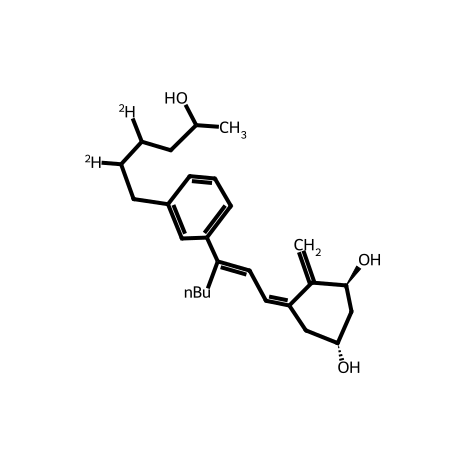 [2H]C(Cc1cccc(/C(=C/C=C2C[C@@H](O)C[C@H](O)C2=C)CCCC)c1)C([2H])CC(C)O